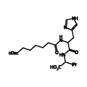 CCCCCCCCCCCCCCCC(=O)NC(Cc1c[nH]cn1)C(=O)NC(C(=O)O)C(C)C